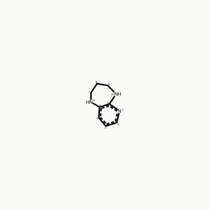 c1cnc2c(c1)NCCCN2